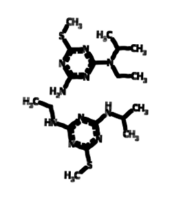 CCN(c1nc(N)nc(SC)n1)C(C)C.CCNc1nc(NC(C)C)nc(SC)n1